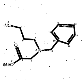 COC(=O)CN(CCCC#N)Cc1ccccc1